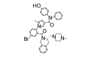 Cc1cc(C(=O)N(c2ccccc2)c2ccc(O)cc2)cn1-c1ccc(Br)cc1C(=O)N1Cc2ccccc2C[C@H]1CN1CCN(C)CC1